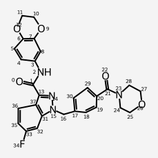 O=C(Nc1ccc2c(c1)OCCO2)c1nn(Cc2ccc(C(=O)N3CCOCC3)cc2)c2cc(F)ccc12